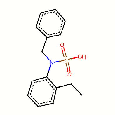 CCc1ccccc1N(Cc1ccccc1)S(=O)(=O)O